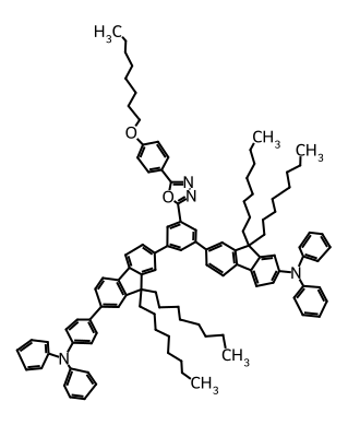 CCCCCCCCOc1ccc(-c2nnc(-c3cc(-c4ccc5c(c4)C(CCCCCCCC)(CCCCCCCC)c4cc(-c6ccc(N(c7ccccc7)c7ccccc7)cc6)ccc4-5)cc(-c4ccc5c(c4)C(CCCCCCCC)(CCCCCCCC)c4cc(N(c6ccccc6)c6ccccc6)ccc4-5)c3)o2)cc1